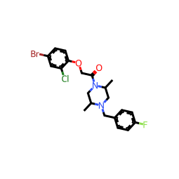 CC1CN(C(=O)COc2ccc(Br)cc2Cl)C(C)CN1Cc1ccc(F)cc1